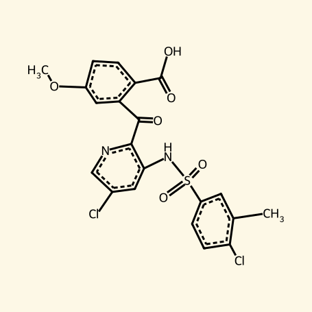 COc1ccc(C(=O)O)c(C(=O)c2ncc(Cl)cc2NS(=O)(=O)c2ccc(Cl)c(C)c2)c1